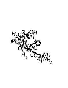 CC(C)C[C@H](NC(=O)[C@H](C)NC(=O)[C@@H](N)CO)C(=O)N[C@@H](C)C(=O)N[C@@H](Cc1ccccc1)C(=O)N[C@@H](CCCNC(=N)N)C(=O)O